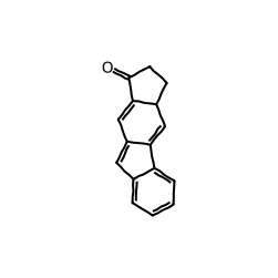 O=C1CCC2C=C3C(=Cc4ccccc43)C=C12